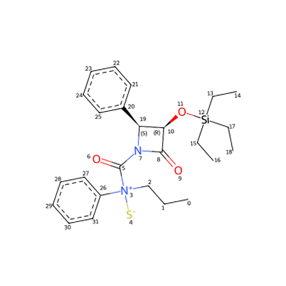 CCC[N+]([S-])(C(=O)N1C(=O)[C@H](O[Si](CC)(CC)CC)[C@@H]1c1ccccc1)c1ccccc1